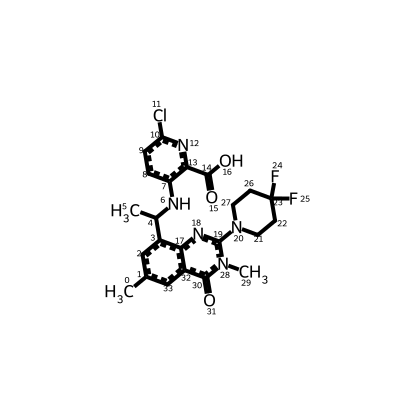 Cc1cc(C(C)Nc2ccc(Cl)nc2C(=O)O)c2nc(N3CCC(F)(F)CC3)n(C)c(=O)c2c1